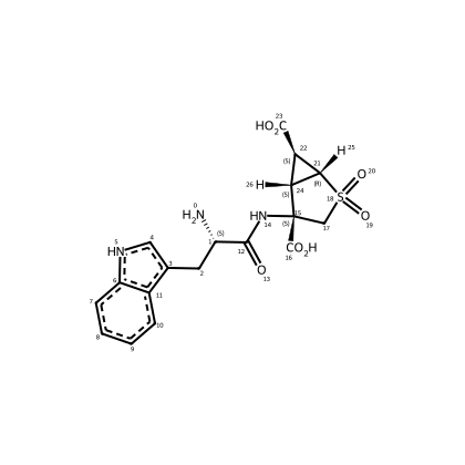 N[C@@H](Cc1c[nH]c2ccccc12)C(=O)N[C@@]1(C(=O)O)CS(=O)(=O)[C@H]2[C@H](C(=O)O)[C@H]21